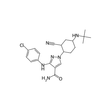 CC(C)(C)NC1CCC(n2cc(C(N)=O)c(Nc3ccc(Cl)cc3)n2)C(C#N)C1